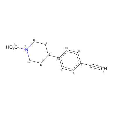 C#Cc1ccc(C2CCN(C(=O)O)CC2)cc1